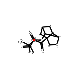 C=C(C)C(=O)OC1C2CC3C1OCC3(C(=O)OC(C)C(F)(F)F)C2